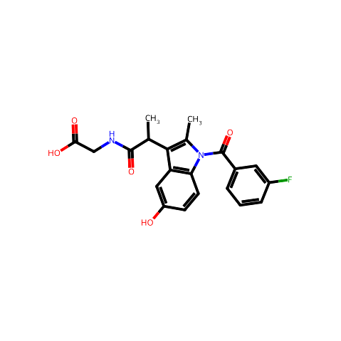 Cc1c(C(C)C(=O)NCC(=O)O)c2cc(O)ccc2n1C(=O)c1cccc(F)c1